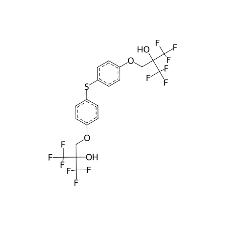 OC(COc1ccc(Sc2ccc(OCC(O)(C(F)(F)F)C(F)(F)F)cc2)cc1)(C(F)(F)F)C(F)(F)F